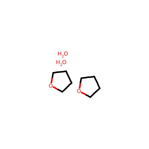 C1CCOC1.C1CCOC1.O.O